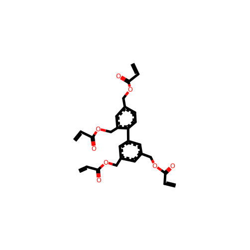 C=CC(=O)OCc1cc(COC(=O)C=C)cc(-c2ccc(COC(=O)C=C)cc2COC(=O)C=C)c1